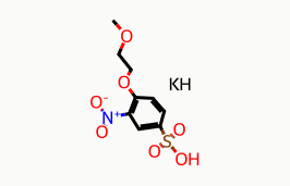 COCCOc1ccc(S(=O)(=O)O)cc1[N+](=O)[O-].[KH]